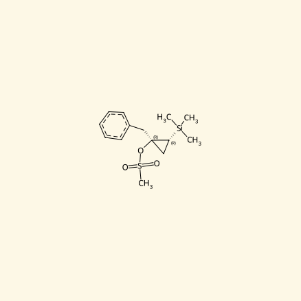 C[Si](C)(C)[C@@H]1C[C@@]1(Cc1ccccc1)OS(C)(=O)=O